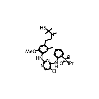 COc1cc(CCN(C)C(C)(C)S)c(C)cc1Nc1ncc(Cl)c(Nc2ccccc2S(=O)(=O)C(C)C)n1